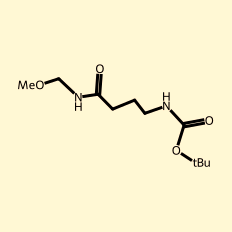 COCNC(=O)CCCNC(=O)OC(C)(C)C